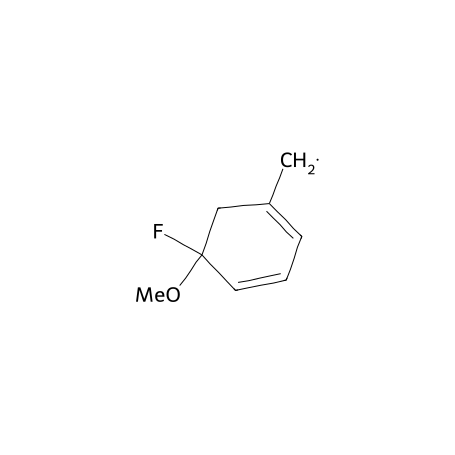 [CH2]C1=CC=CC(F)(OC)C1